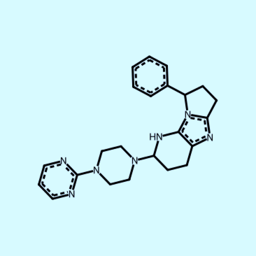 c1ccc(C2CCc3nc4c(n32)NC(N2CCN(c3ncccn3)CC2)CC4)cc1